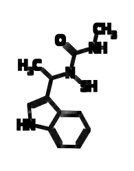 CNC(=O)N(S)C(C)c1c[nH]c2ccccc12